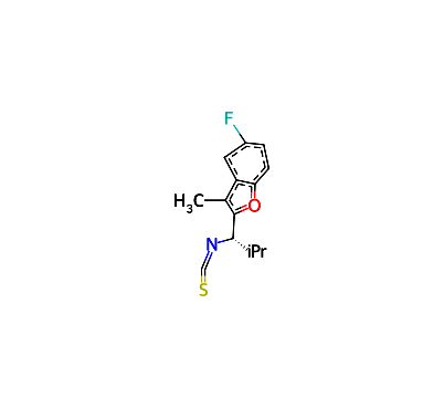 Cc1c([C@@H](N=C=S)C(C)C)oc2ccc(F)cc12